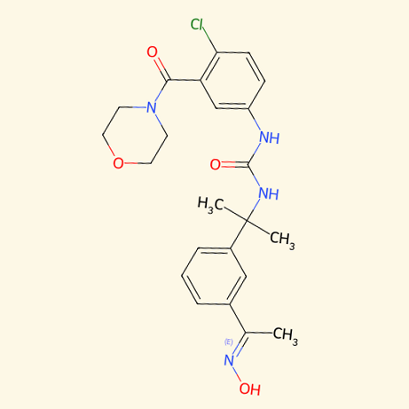 C/C(=N\O)c1cccc(C(C)(C)NC(=O)Nc2ccc(Cl)c(C(=O)N3CCOCC3)c2)c1